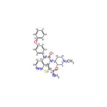 CN1CCC(N2C(=O)N(c3ccc(Oc4ccccc4)cc3)c3ccnc4sc(C(N)=O)c2c34)CC1